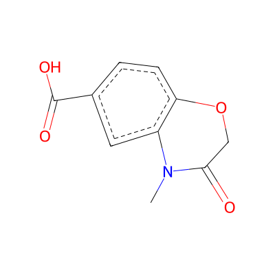 CN1C(=O)COc2ccc(C(=O)O)cc21